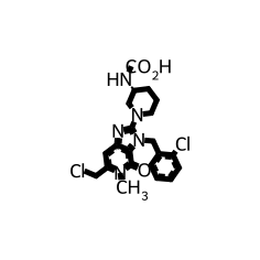 Cn1c(CCl)cc2nc(N3CCC[C@@H](NC(=O)O)C3)n(Cc3ccccc3Cl)c2c1=O